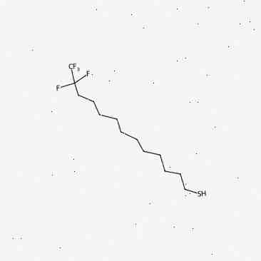 FC(F)(F)C(F)(F)CCCCCCCCCCCS